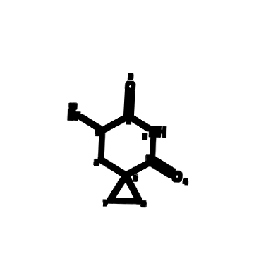 O=C1NC(=O)C2(CC2)CC1Br